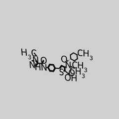 CCn1cncc1C(=O)Nc1ccc(-c2cc(N(C(=O)[C@H]3CC[C@H](C)CC3)C(C)C)c(C(=O)O)s2)cc1